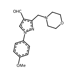 COc1ccc(-n2cc(C=O)c(CN3CCOCC3)n2)cc1